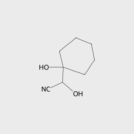 N#CC(O)C1(O)CCCCC1